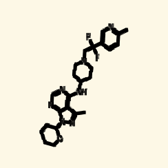 Cc1ccc(C(F)(F)CN2CCC(Nc3ncnc4c3c(C)nn4C3CCCCO3)CC2)cn1